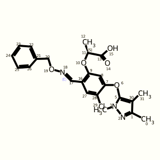 Cc1nn(C)c(Oc2cc(O[C@@H](C)C(=O)O)c(/C=N/OCc3ccccc3)cc2Cl)c1C